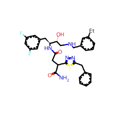 CCc1cccc(CNC[C@@H](O)[C@H](Cc2cc(F)cc(F)c2)NC(=O)CC(C(N)=O)c2nnc(Cc3ccccc3)s2)c1